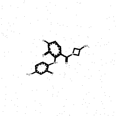 Cc1ccc(Nc2c(C(=O)N3CC(N)C3)ccc(F)c2F)c(F)c1